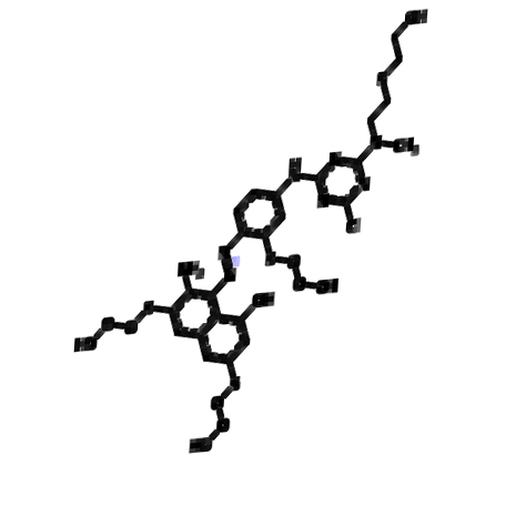 CN(CCSCCO)c1nc(Cl)nc(Nc2ccc(/N=N/c3c(N)c(SOOO)cc4cc(SOOO)cc(O)c34)c(SOOO)c2)n1